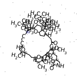 C=C1[C@@H]2O[C@@H](CC[C@@H]3O[C@@H](CCC/C=C/C(O[Si](C)(C)C(C)(C)C)[C@@H]4OC5CC[C@H](CC(=O)C[C@@H]6[C@@H](OC)[C@@H](C[C@H]7CNC(=O)O7)O[C@H]6C2=C)O[C@@H]5C(O[Si](C)(C)C(C)(C)C)C4O[Si](C)(C)C(C)(C)C)CC3=C)C[C@H]1C